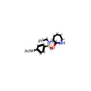 CC(=O)Nc1ccc([S+]([O-])N(CC(C)C)[C@H]2CCCCNC2=O)cc1